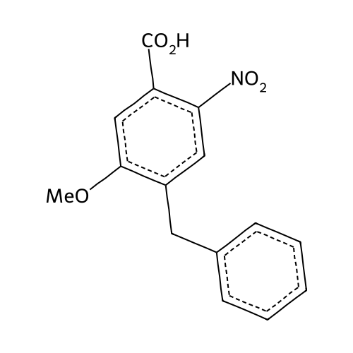 COc1cc(C(=O)O)c([N+](=O)[O-])cc1Cc1ccccc1